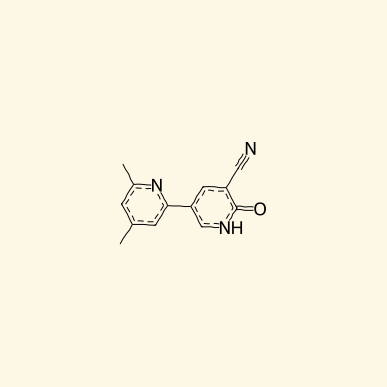 Cc1cc(C)nc(-c2c[nH]c(=O)c(C#N)c2)c1